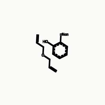 C=CCOCC=C.CCCCCCCCCc1ccccc1O